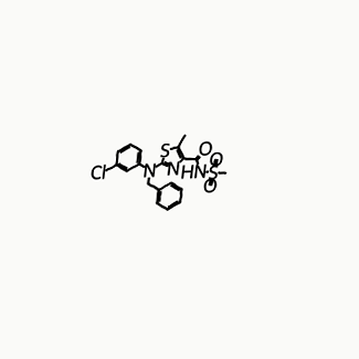 Cc1sc(N(Cc2ccccc2)c2cccc(Cl)c2)nc1C(=O)NS(C)(=O)=O